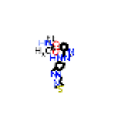 CCNC(=O)[C@@H](C)Oc1cccc2ncnc(Nc3ccc4c(cnn4Cc4cscn4)c3)c12